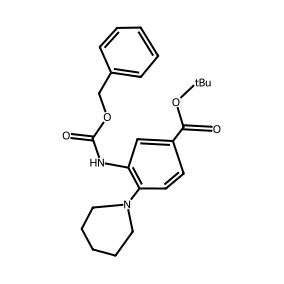 CC(C)(C)OC(=O)c1ccc(N2CCCCC2)c(NC(=O)OCc2ccccc2)c1